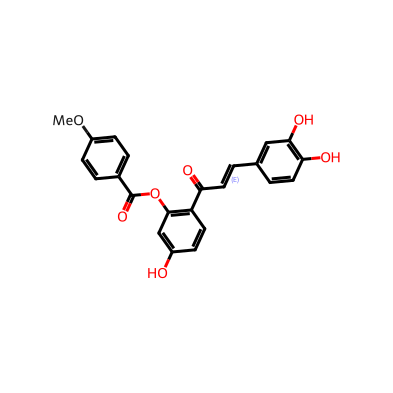 COc1ccc(C(=O)Oc2cc(O)ccc2C(=O)/C=C/c2ccc(O)c(O)c2)cc1